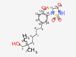 CC(C)(CO)CCCCCc1ccc(O)c(N2CC(=O)NS2(=O)=O)c1